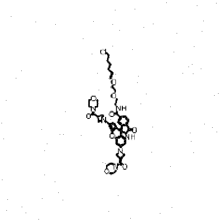 N=C1C(=O)c2ccc(C(=O)NCCOCCOCCCCCCCl)cc2C12c1ccc(N3CC(C(=O)N4CCOCC4)C3)cc1Oc1cc(N3CC(C(=O)N4CCOCC4)C3)ccc12